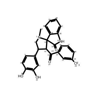 CN1CC(c2ccc(O)c(O)c2)C(C(=O)c2cccc(C(F)(F)F)c2)C12C(=O)Nc1ccccc12